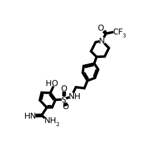 N=C(N)c1ccc(O)c(S(=O)(=O)NCCc2ccc(C3CCN(C(=O)C(F)(F)F)CC3)cc2)c1